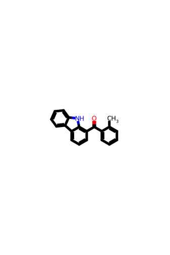 Cc1ccccc1C(=O)c1cccc2c1[nH]c1ccccc12